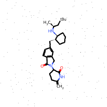 C=C1CCC(N2Cc3cc(C[C@H]4CCCC[C@@H]4N[C@@H](C)CC(C)(C)C)ccc3C2=O)C(=O)N1